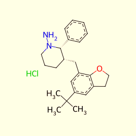 CC(C)(C)c1cc2c(c(C[C@@H]3CCCN(N)[C@@H]3c3ccccc3)c1)OCC2.Cl